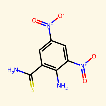 NC(=S)c1cc([N+](=O)[O-])cc([N+](=O)[O-])c1N